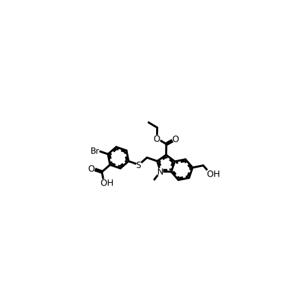 CCOC(=O)c1c(CSc2ccc(Br)c(C(=O)O)c2)n(C)c2ccc(CO)cc12